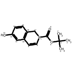 CC(C)(C)OC(=O)N1C=Cc2cc(O)ccc2C1